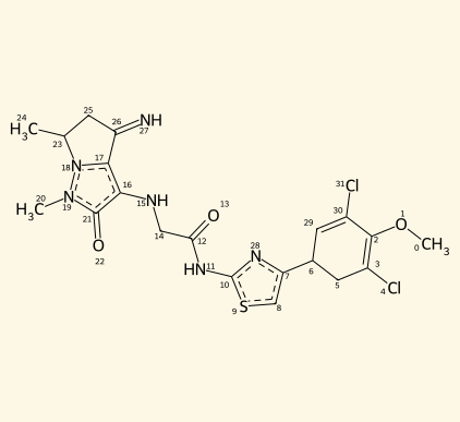 COC1=C(Cl)CC(c2csc(NC(=O)CNc3c4n(n(C)c3=O)C(C)CC4=N)n2)C=C1Cl